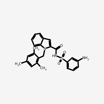 Cc1cc(C)c(Cn2c(C(=O)NS(=O)(=O)c3cccc(N)c3)cc3ccccc32)c(C)c1